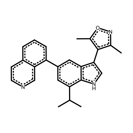 Cc1noc(C)c1-c1c[nH]c2c(C(C)C)cc(-c3cccc4ccncc34)cc12